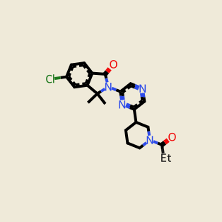 CCC(=O)N1CCCC(c2cncc(N3C(=O)c4ccc(Cl)cc4C3(C)C)n2)C1